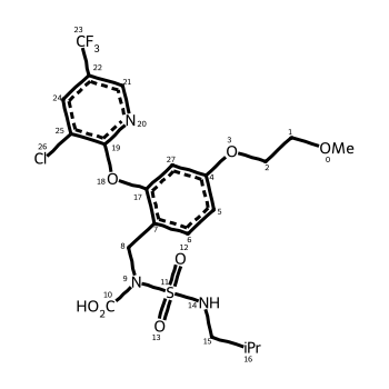 COCCOc1ccc(CN(C(=O)O)S(=O)(=O)NCC(C)C)c(Oc2ncc(C(F)(F)F)cc2Cl)c1